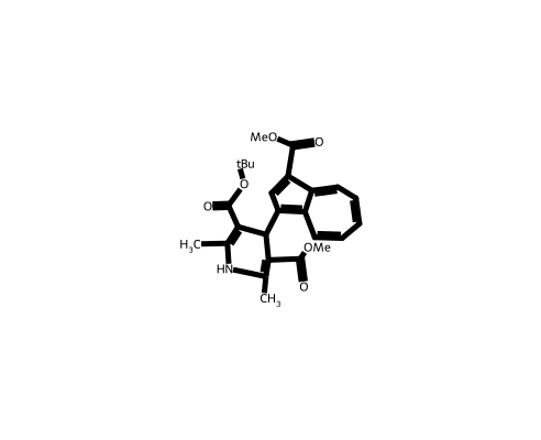 COC(=O)C1=C(C)NC(C)=C(C(=O)OC(C)(C)C)C1c1cc(C(=O)OC)c2cccccc1-2